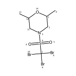 CC1CN(S(=O)(=O)C(Br)(Br)Br)CC(C)O1